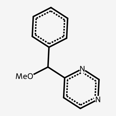 COC(c1ccccc1)c1ccncn1